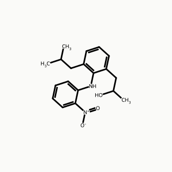 CC(C)Cc1cccc(CC(C)O)c1Nc1ccccc1[N+](=O)[O-]